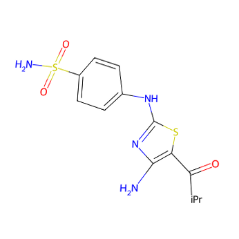 CC(C)C(=O)c1sc(Nc2ccc(S(N)(=O)=O)cc2)nc1N